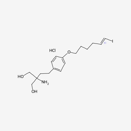 Cl.NC(CO)(CO)CCc1ccc(OCCCC/C=C/I)cc1